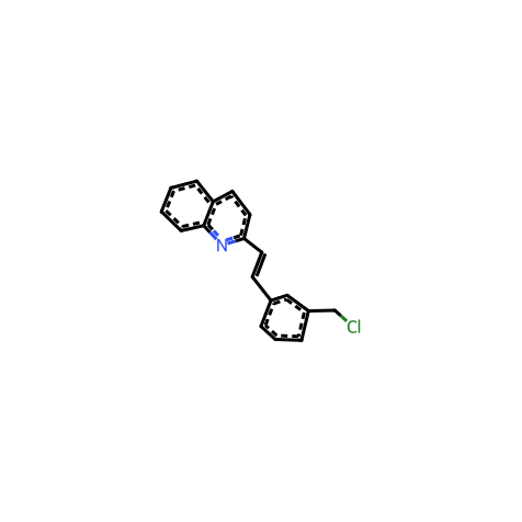 ClCc1cccc(C=Cc2ccc3ccccc3n2)c1